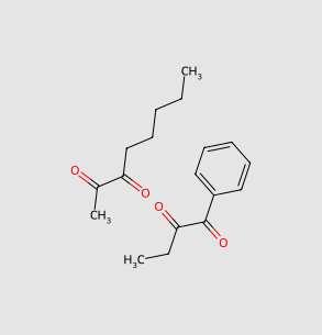 CCC(=O)C(=O)c1ccccc1.CCCCCC(=O)C(C)=O